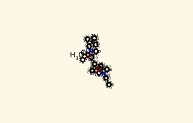 CC1(C)c2ccccc2-c2ccc(N(c3ccc4c(c3)C(c3ccccc3)(c3ccccc3)c3ccccc3-4)c3ccccc3-c3cccc(-c4ccc(C5(c6ccccc6)c6ccccc6-c6ccc(N(c7ccc(-c8ccccc8)cc7)c7ccccc7-c7ccccc7)cc65)cc4)c3)cc21